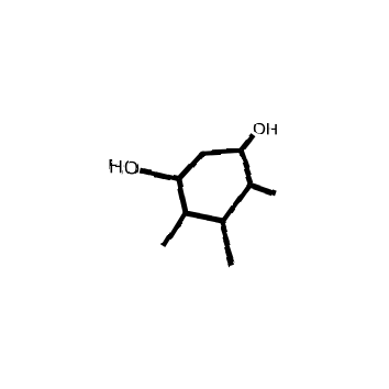 CC1C(O)CC(O)C(C)C1C